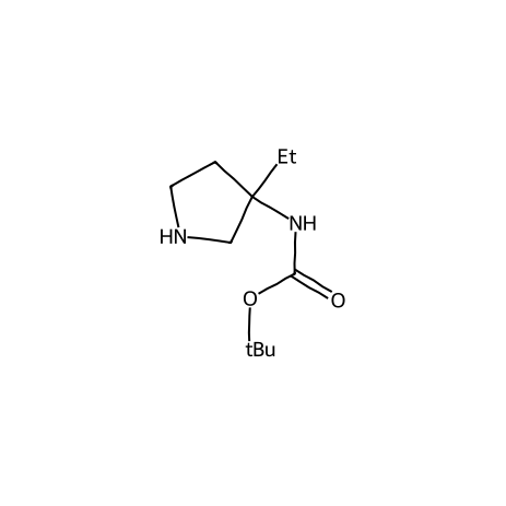 CCC1(NC(=O)OC(C)(C)C)CCNC1